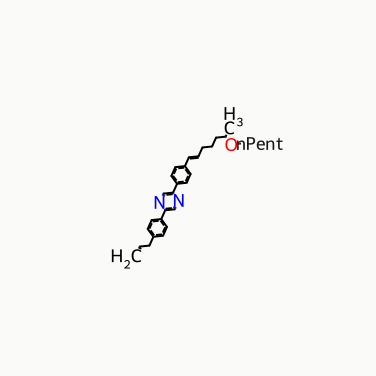 C=CCc1ccc(-c2cnc(-c3ccc(C=CCCCC(C)OCCCCC)cc3)cn2)cc1